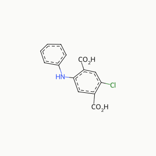 O=C(O)c1cc(Nc2ccccc2)c(C(=O)O)cc1Cl